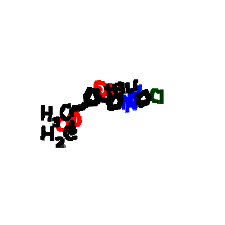 C=CC(=O)OC(C)CCc1ccc(O)c(-c2ccc(-n3nc4ccc(Cl)cc4n3)cc2C(C)(C)C)c1